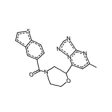 Cc1cc(C2CN(C(=O)c3ccc4sccc4c3)CCO2)n2ncnc2n1